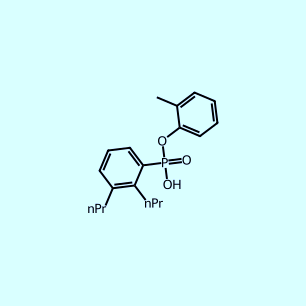 CCCc1cccc(P(=O)(O)Oc2ccccc2C)c1CCC